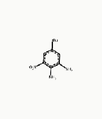 CC(C)(C)c1cc(N)c(N)c([N+](=O)[O-])c1